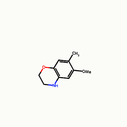 COc1cc2c(cc1C)OCCN2